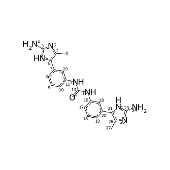 Cc1nc(N)[nH]c1-c1cccc(NC(=O)Nc2cccc(-c3[nH]c(N)nc3C)c2)c1